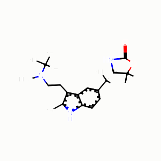 [2H]c1[nH]c2ccc(C([2H])([2H])[C@@H]3NC(=O)OC3([2H])[2H])cc2c1CCN(C)C([2H])([2H])[2H]